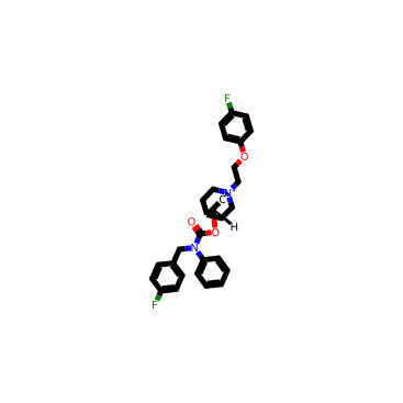 O=C(O[C@H]1C[N+]2(CCOc3ccc(F)cc3)CCC1CC2)N(Cc1ccc(F)cc1)c1ccccc1